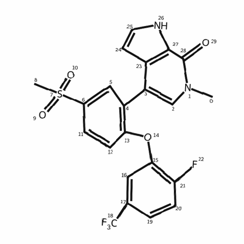 Cn1cc(-c2cc(S(C)(=O)=O)ccc2Oc2cc(C(F)(F)F)ccc2F)c2cc[nH]c2c1=O